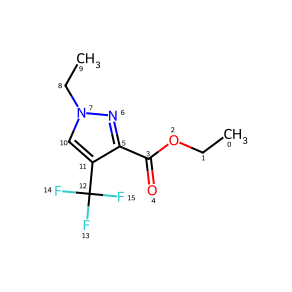 CCOC(=O)c1nn(CC)cc1C(F)(F)F